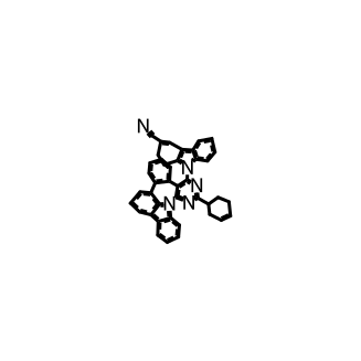 N#CC1=Cc2c(n(-c3nc(C4CC=CCC4)nc4c3-c3ccccc3-c3cccc5c6ccccc6n-4c35)c3ccccc23)CC1